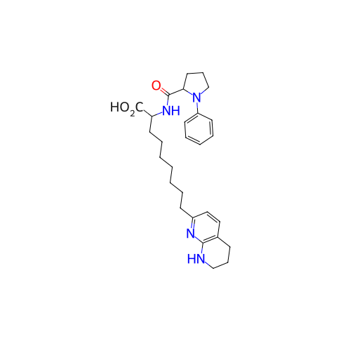 O=C(O)C(CCCCCCCc1ccc2c(n1)NCCC2)NC(=O)C1CCCN1c1ccccc1